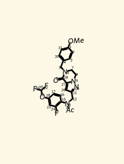 COc1ccc(CN2CCn3nc(CN(C(C)=O)c4ccc(OC(F)F)cc4F)cc3C2=O)cc1